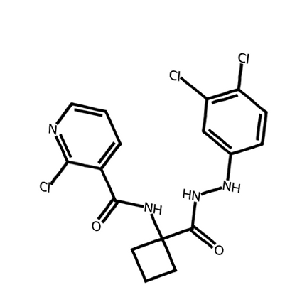 O=C(NC1(C(=O)NNc2ccc(Cl)c(Cl)c2)CCC1)c1cccnc1Cl